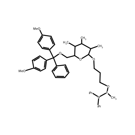 COc1ccc(C(OCC2OC(OCCCOP(C)N(C(C)C)C(C)C)C(C)C(C)C2C)(c2ccccc2)c2ccc(OC)cc2)cc1